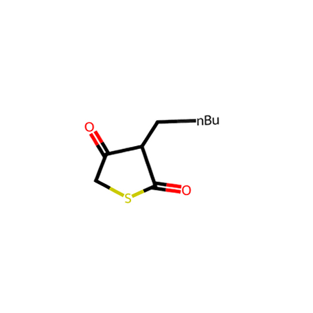 CCCCCC1C(=O)CSC1=O